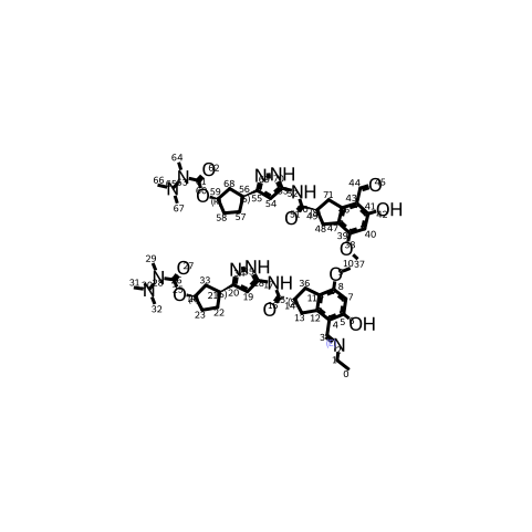 CC/N=C/c1c(O)cc(OC)c2c1C[C@H](C(=O)Nc1cc([C@H]3CC[C@@H](OC(=O)N(C)N(C)C)C3)n[nH]1)C2.COc1cc(O)c(C=O)c2c1C[C@@H](C(=O)Nc1cc([C@H]3CC[C@@H](OC(=O)N(C)N(C)C)C3)n[nH]1)C2